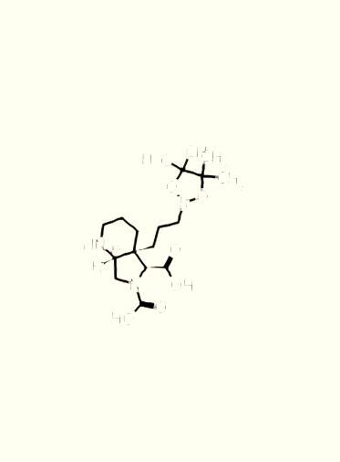 CC1(C)OB(CCC[C@]23CCCN[C@H]2CN(C(=O)O)[C@@H]3C(=O)O)OC1(C)C